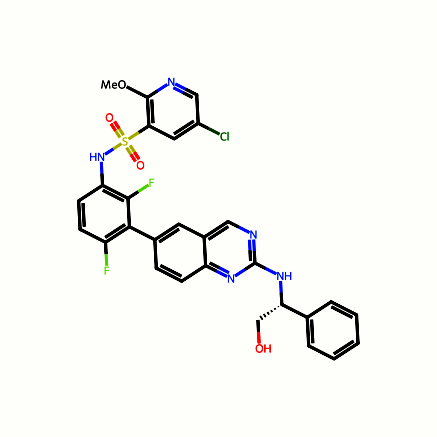 COc1ncc(Cl)cc1S(=O)(=O)Nc1ccc(F)c(-c2ccc3nc(N[C@@H](CO)c4ccccc4)ncc3c2)c1F